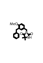 COc1ccc(CN2C(=O)NC(C)(C)C2=O)cc1Cc1ccccc1